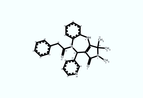 CN1C(=O)C2=C(Nc3ccccc3N(C(=O)Cc3ccccc3)C2c2cccnc2)C1(C)C